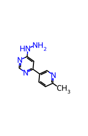 Cc1ccc(-c2cc(NN)ncn2)cn1